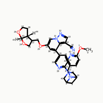 COc1ccc(CN2C3CC2CN(c2ccc(-c4cc(OCC5CO[C@@H]6OCC[C@H]56)cn5ncc(C#N)c45)cn2)C3)cn1